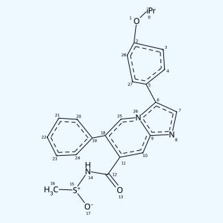 CC(C)Oc1ccc(-c2cnc3cc(C(=O)N[S+](C)[O-])c(-c4ccccc4)cn23)cc1